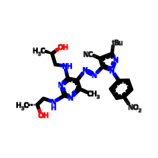 Cc1nc(NC[C@@H](C)O)nc(NC[C@@H](C)O)c1N=Nc1c(C#N)c(C(C)(C)C)nn1-c1ccc([N+](=O)[O-])cc1